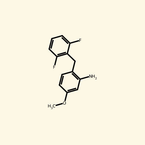 COc1ccc(Cc2c(F)cccc2F)c(N)c1